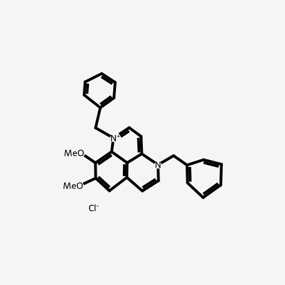 COc1cc2c3c(cc[n+](Cc4ccccc4)c3c1OC)N(Cc1ccccc1)C=C2.[Cl-]